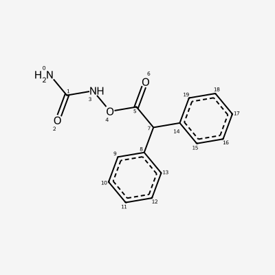 NC(=O)NOC(=O)C(c1ccccc1)c1ccccc1